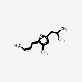 C=c1cc(CC(C)C)s/c1=C/C=C\C